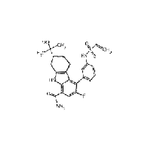 C=CS(=O)(=O)Nc1cccc(-c2c(F)cc(C(N)=O)c3[nH]c4c(c23)CC[C@@H](C(C)(C)O)C4)c1